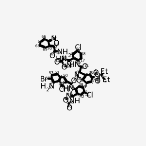 CCN(CC)S(=O)(=O)c1ccc2onc(C(=O)Nc3ccc(Cl)cc3-c3noc(=O)[nH]3)c2c1.Cn1c(C(=O)Nc2ccc(Cl)cc2-c2noc(=O)[nH]2)cc2ccc(Br)c(N)c21.NC(=O)c1onc2ccccc12